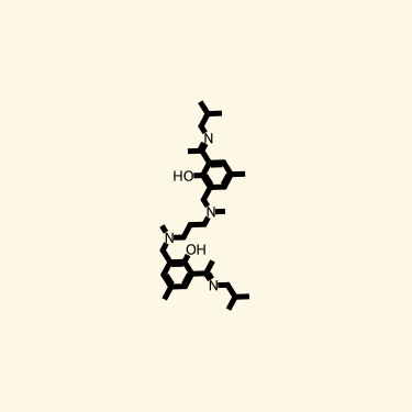 C/C(=N\CC(C)C)c1cc(C)cc(CN(C)CCCN(C)Cc2cc(C)cc(/C(C)=N/CC(C)C)c2O)c1O